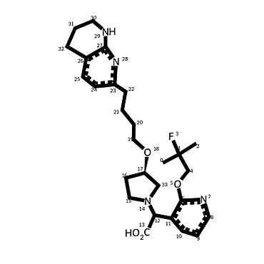 CC(C)(F)COc1ncccc1C(C(=O)O)N1CC[C@@H](OCCCCc2ccc3c(n2)NCCC3)C1